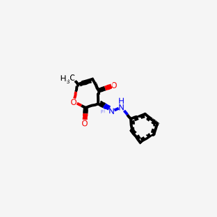 CC1=CC(=O)/C(=N\Nc2ccccc2)C(=O)O1